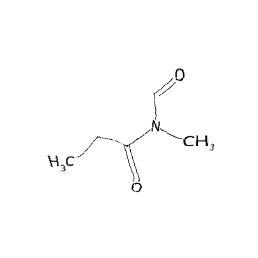 CCC(=O)N(C)C=O